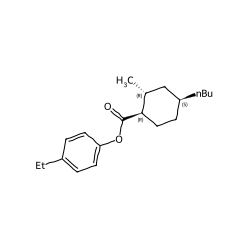 CCCC[C@H]1CC[C@@H](C(=O)Oc2ccc(CC)cc2)[C@H](C)C1